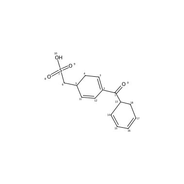 O=C(C1=CCC(CS(=O)(=O)O)C=C1)C1C=CC=CC1